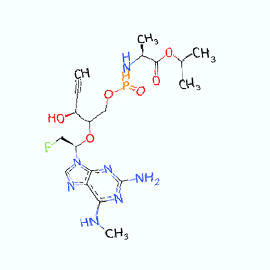 C#C[C@H](O)C(CO[PH](=O)N[C@@H](C)C(=O)OC(C)C)O[C@H](CF)n1cnc2c(NC)nc(N)nc21